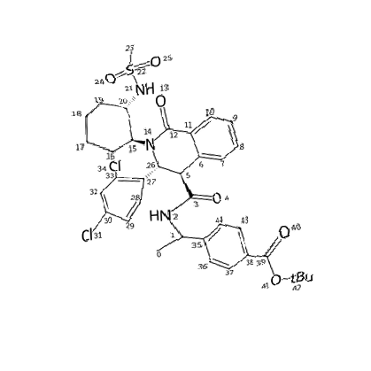 CC(NC(=O)[C@@H]1c2ccccc2C(=O)N([C@H]2CCCC[C@@H]2NS(C)(=O)=O)[C@H]1c1ccc(Cl)cc1Cl)c1ccc(C(=O)OC(C)(C)C)cc1